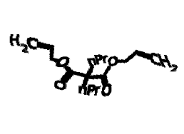 C=CCOC(=O)C(CCC)(CCC)C(=O)OCC=C